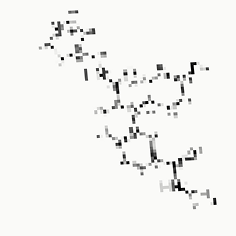 CNC(=O)c1ccc2c(c1)[C@H](c1ccc(F)cc1)N(C(=O)NCC13CCN(CC1)C3)CC2